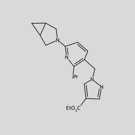 CCOC(=O)c1cnn(Cc2ccc(N3CC4CC4C3)nc2C(C)C)c1